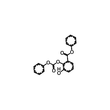 O=C(Oc1ccccc1)Oc1c(O)cccc1C(=O)Oc1ccccc1